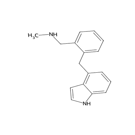 CNCc1ccccc1Cc1cccc2[nH]ccc12